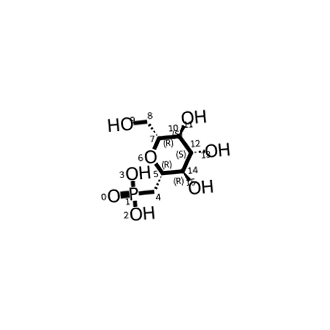 O=P(O)(O)C[C@@H]1O[C@H](CO)[C@@H](O)[C@H](O)[C@H]1O